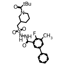 Cc1cc(-c2ccccc2)cc(C(=O)NNS(=O)(=O)CC2CCCN(C(=O)C(C)(C)C)C2)c1F